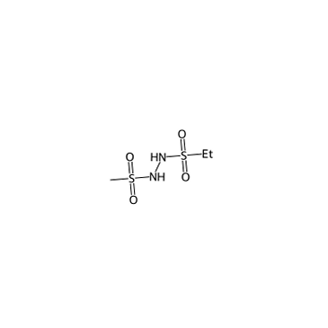 CCS(=O)(=O)NNS(C)(=O)=O